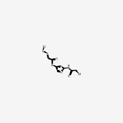 CCON=CC(=O)Oc1csc(NC(=O)CCl)n1